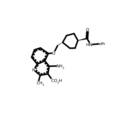 CCCNC(=O)[C@H]1CC[C@H](COc2cccc3nc(C)c(C(=O)O)c(N)c23)CC1